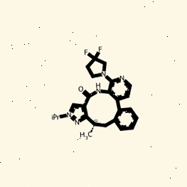 CC(C)n1cc2c(n1)[C@@H](C)Cc1ccccc1-c1ccnc(N3CCC(F)(F)C3)c1NC2=O